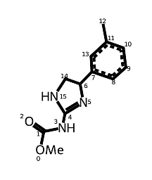 COC(=O)NC1=NC(c2cccc(C)c2)CN1